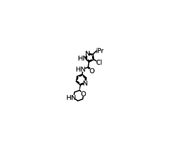 CC(C)c1n[nH]c(C(=O)Nc2ccc([C@@H]3CNCCO3)nc2)c1Cl